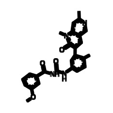 COc1cccc(C(=O)NC(=O)Nc2ccc(C)c(-c3cc4cnc(C)cc4n(C)c3=O)c2)c1